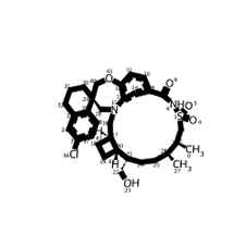 C[C@@H]1CS(=O)(=O)NC(=O)c2ccc3c(c2)N(C[C@@H]2CC[C@H]2[C@@H](CO)CC[C@@H]1C)C[C@@]1(CCCc2cc(Cl)ccc21)CO3